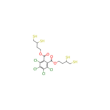 O=C(OCCC(S)CS)c1c(Cl)c(Cl)c(Cl)c(Cl)c1C(=O)OCCC(S)CS